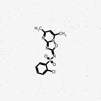 Cc1cc(C)n2oc(=NS(=O)(=O)c3ccccc3Cl)nc2n1